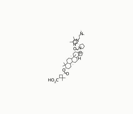 Cc1nc([C@@H]2CCCN2C(=O)[C@]23CCC[C@@H]2[C@H]2CCC4[C@@]5(C)CC[C@H](OC(=O)[C@H]6C[C@@H](C(=O)O)C6(C)C)C(C)(C)C5CC[C@@]4(C)[C@]2(C)CC3)n(CCN(C)C)c1C